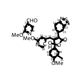 COc1cc(C=O)ccn1.COc1cc(CC2=C(c3ccc4nsnc4c3)C(=O)OC2(O)c2ccc(OC)c(C)c2)ccn1